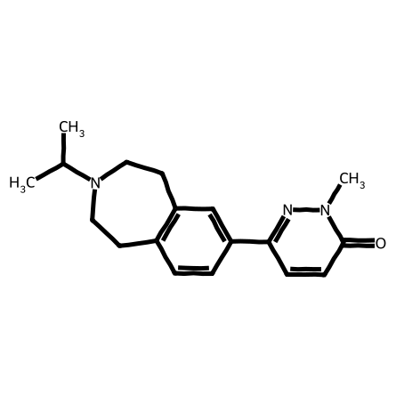 CC(C)N1CCc2ccc(-c3ccc(=O)n(C)n3)cc2CC1